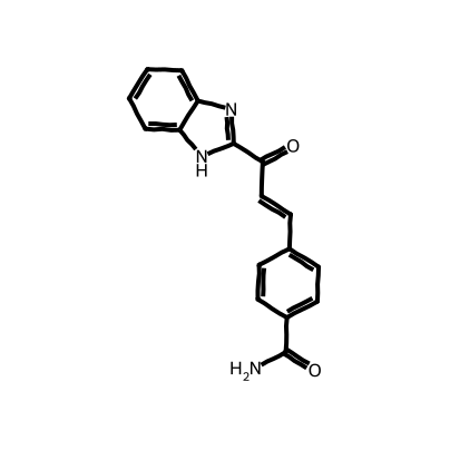 NC(=O)c1ccc(C=CC(=O)c2nc3ccccc3[nH]2)cc1